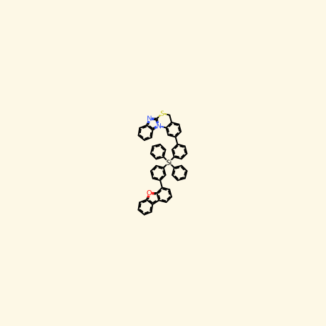 c1ccc([Si](c2ccccc2)(c2cccc(-c3ccc4c(c3)-n3c(nc5ccccc53)SC4)c2)c2cccc(-c3cccc4c3oc3ccccc34)c2)cc1